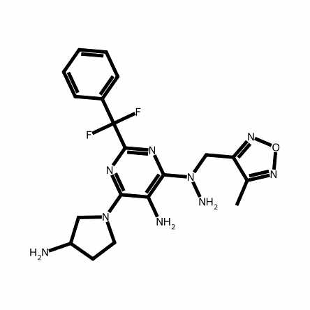 Cc1nonc1CN(N)c1nc(C(F)(F)c2ccccc2)nc(N2CCC(N)C2)c1N